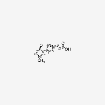 Cn1ccc(=O)c(-c2cc[n+](CCC(=O)O)nc2)c1